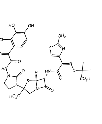 CC(C)(O/N=C(\C(=O)N[C@@H]1C(=O)N2CC(C(=O)O)(N3CCN(NC(=O)C(=O)c4ccc(O)c(O)c4Cl)C3=O)S[C@H]12)c1csc(N)n1)C(=O)O